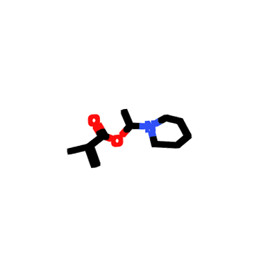 C=C(C)C(=O)OC(C)N1CCCCC1